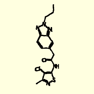 CCCn1nc2ccc(CC(=O)Nc3snc(C)c3Cl)cc2n1